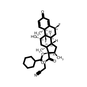 C[C@@H]1C[C@H]2[C@@H]3C[C@H](F)C4=CC(=O)C=C[C@]4(C)[C@@]3(F)[C@@H](O)C[C@]2(C)[C@@]1(OC(=O)C1CCCCC1)C(=O)OCC#N